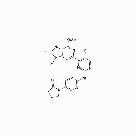 COc1nc(-c2nc(Nc3ccc(N4CCCC4=O)cn3)ncc2F)cc2c1nc(C)n2C(C)C